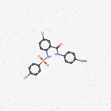 CSc1ccc(NC(=O)c2cc(Cl)ccc2NS(=O)(=O)c2ccc(Cl)cc2)cc1